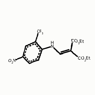 CCOC(=O)C(=CNc1ccc([N+](=O)[O-])cc1C(F)(F)F)C(=O)OCC